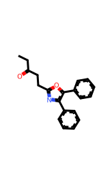 CCC(=O)CCc1nc(-c2ccccc2)c(-c2ccccc2)o1